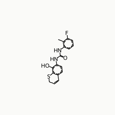 Cc1c(F)cccc1NC(=O)Nc1ccc2c(c1O)SCC=C2